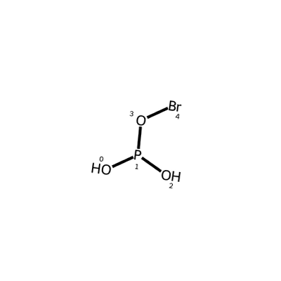 OP(O)OBr